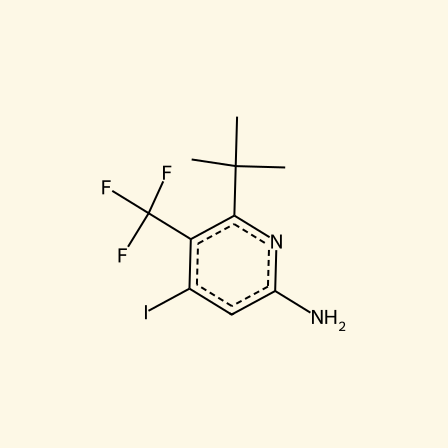 CC(C)(C)c1nc(N)cc(I)c1C(F)(F)F